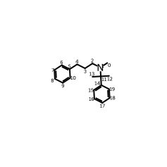 CN(CCCc1ccccc1)C(C)(C)c1ccccc1